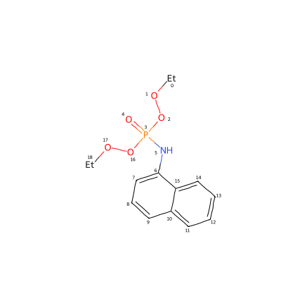 CCOOP(=O)(Nc1cccc2ccccc12)OOCC